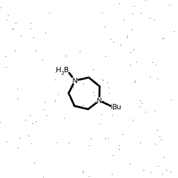 BN1CCCN(C(C)CC)CC1